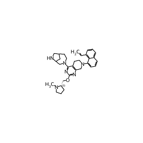 C=Cc1cccc2cccc(N3CCc4c(nc(OC[C@@H]5CCCN5C)nc4N4CCC5CNC(C5)C4)C3)c12